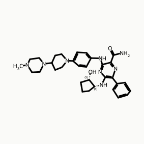 CN1CCN(C2CCN(c3ccc(Nc4nc(N[C@@H]5CCC[C@@H]5O)c(-c5ccccc5)nc4C(N)=O)cc3)CC2)CC1